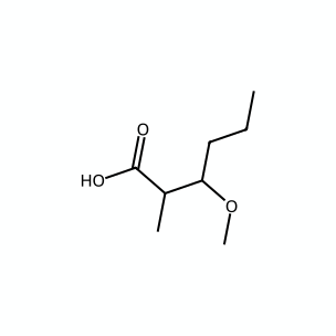 CCCC(OC)C(C)C(=O)O